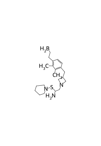 BCCc1ccc(CC2CN(CC(N)SN3CCCCC3)C2)c(C)c1C